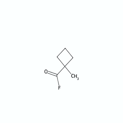 CC1(C(=O)F)CCC1